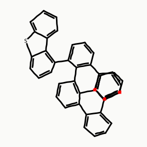 c1ccc(-c2cccc(-c3cccc4sc5ccccc5c34)c2-c2cccc3c4ccccc4c4ccccc4c23)cc1